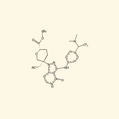 CN(C)C(c1ccc(Nc2nn([C@]3(CC#N)CC[C@@H](C(=O)OC(C)(C)C)OC3)c3cc[nH]c(=O)c23)cc1)C(F)(F)F